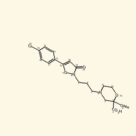 COC1(C(=O)O)CN(CCCn2oc(-c3ccc(Cl)cc3)cc2=O)CCO1